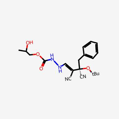 CC(O)COC(=O)NNC=C(C#N)[C@@](C#N)(Cc1ccccc1)OC(C)(C)C